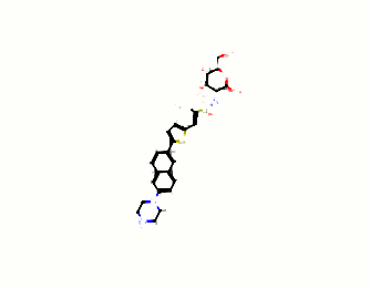 CN1CCN(c2ccc3cc(-c4ccc(/C=C(\C#N)S(=O)(=O)N[C@H]5C(O)O[C@H](CO)[C@@H](O)[C@@H]5O)s4)ccc3c2)CC1